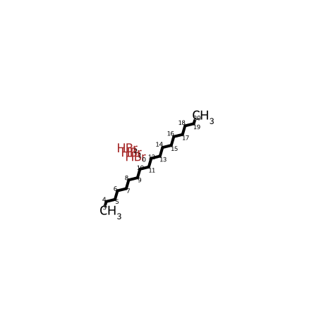 Br.Br.Br.CCCCCCCCCCCCCCCCCC